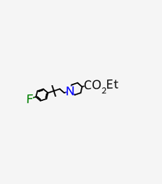 CCOC(=O)C1CCN(CCC(C)(C)c2ccc(F)cc2)CC1